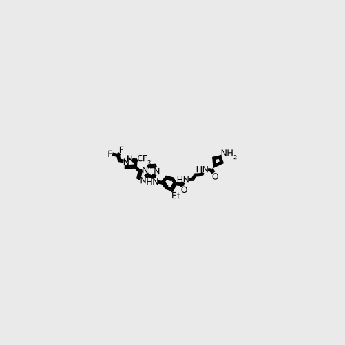 CCc1cc(Nc2nccn3c(-c4cn(CC(F)F)nc4C(F)(F)F)cnc23)ccc1C(=O)NCCCNC(=O)[C@H]1C[C@H](N)C1